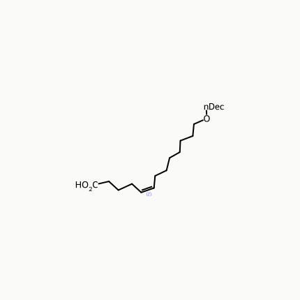 CCCCCCCCCCOCCCCCCC/C=C\CCCC(=O)O